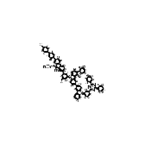 CCCCCCCCC1(CCCCCCCC)c2cc(-c3ccc(-c4ccc(C)cc4)cc3)ccc2-c2ccc(-c3cc(C)cc(-n4c5ccc(-c6ccc7c(c6)c6ccccc6n7-c6cccc(-c7nc(-c8ccccc8)nc(-c8ccccc8)n7)c6)cc5c5c6oc7ccccc7c6ccc54)c3)cc21